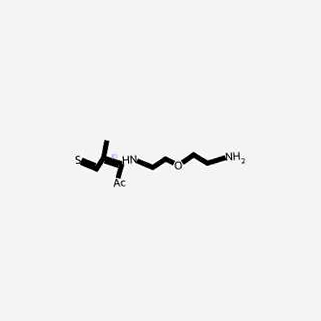 CC(=O)/C(NCCOCCN)=C(/C)C=S